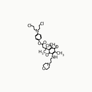 CC1=C(NCCN2CCOCC2)C(=O)C(C(C)(C)CC(=O)Oc2ccc(N(CCCl)CCCl)cc2)=C(C)C1=O